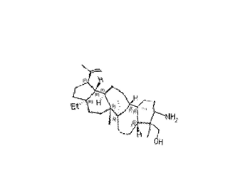 C=C(C)[C@@H]1CC[C@]2(CC)CC[C@]3(C)[C@H](CC[C@@H]4[C@@]5(C)CCC(N)C(C)(CO)[C@@H]5CC[C@]43C)[C@@H]12